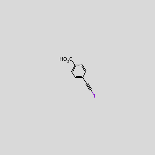 O=C(O)c1ccc(C#CI)cc1